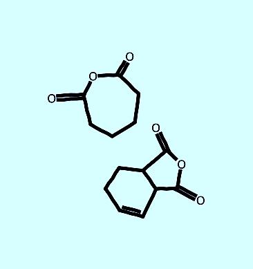 O=C1CCCCC(=O)O1.O=C1OC(=O)C2CCC=CC12